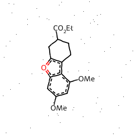 CCOC(=O)C1CCc2c(oc3cc(OC)cc(OC)c23)C1